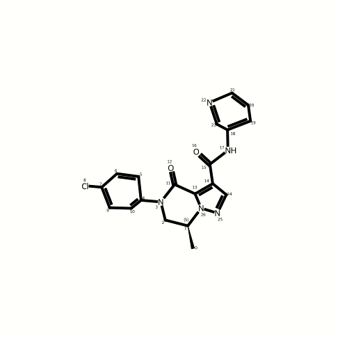 C[C@H]1CN(c2ccc(Cl)cc2)C(=O)c2c(C(=O)Nc3cccnc3)cnn21